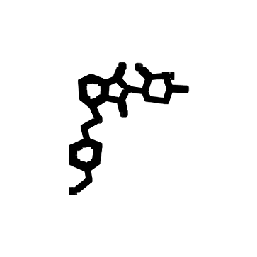 O=C1CCC(N2C(=O)c3cccc(OCc4ccc(CBr)cc4)c3C2=O)C(=O)N1